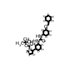 CC(C)(C)OC(=O)n1nccc1-c1cccc(NC(=O)Nc2cccc(OCc3ccccc3)c2)c1